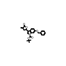 C=C1CC(c2cn(C(=O)OC(C)(C)C)c3cc(OCc4ccccc4)ccc23)OC1=O